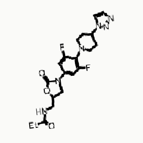 CCC(=O)NCC1CN(c2cc(F)c(N3CCC(n4ccnn4)CC3)c(F)c2)C(=O)O1